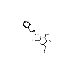 COC[C@H]1O[C@@H](S)[C@@H](OC/C=C/c2ccccc2)[C@@H](O)[C@@H]1O